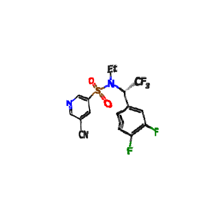 CCN([C@@H](c1ccc(F)c(F)c1)C(F)(F)F)S(=O)(=O)c1cncc(C#N)c1